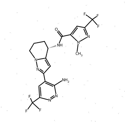 Cn1nc(C(F)(F)F)cc1C(=O)N[C@H]1CCCn2nc(-c3cc(C(F)(F)F)nnc3N)cc21